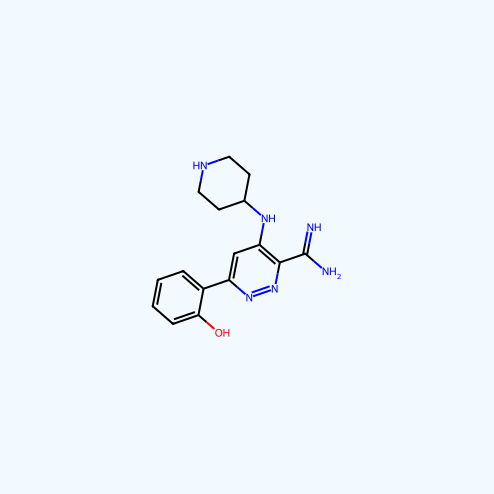 N=C(N)c1nnc(-c2ccccc2O)cc1NC1CCNCC1